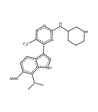 CNc1ccc2c(-c3nc(NC4CCCNC4)ncc3C(F)(F)F)c[nH]c2c1P(C)C